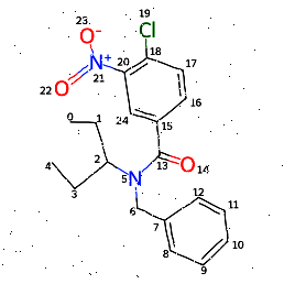 CCC(CC)N(Cc1ccccc1)C(=O)c1ccc(Cl)c([N+](=O)[O-])c1